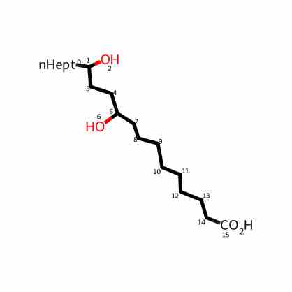 CCCCCCCC(O)CCC(O)CCCCCCCCC(=O)O